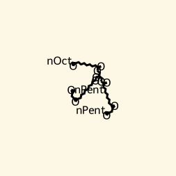 CCCCCCCCC1OC1CCCCCCCC(=O)OCC(COC(=O)CCCCCCCC1OC1CC1OC1CCCCC)OOCCCCCCCCC1OC1CC1OC1CCCCC